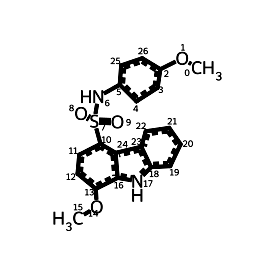 COc1ccc(NS(=O)(=O)c2ccc(OC)c3[nH]c4ccccc4c23)cc1